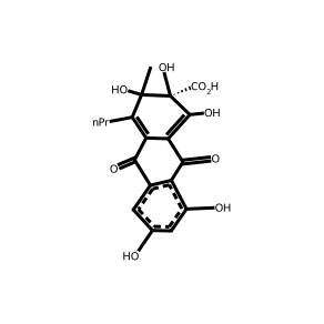 CCCC1=C2C(=O)c3cc(O)cc(O)c3C(=O)C2=C(O)[C@@](O)(C(=O)O)C1(C)O